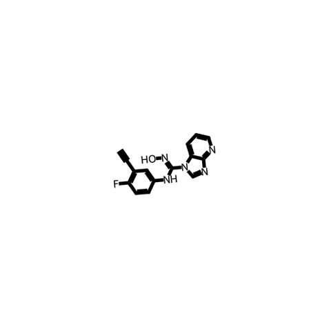 C#Cc1cc(NC(=NO)n2cnc3ncccc32)ccc1F